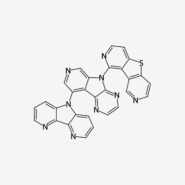 c1cnc2c3ncccc3n(-c3cncc4c3c3nccnc3n4-c3nccc4sc5ccncc5c34)c2c1